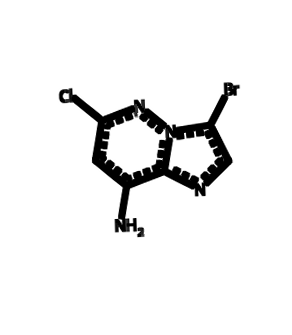 Nc1cc(Cl)nn2c(Br)cnc12